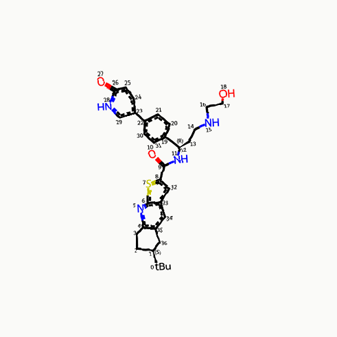 CC(C)(C)[C@H]1CCc2nc3sc(C(=O)N[C@H](CCNCCO)c4ccc(-c5ccc(=O)[nH]c5)cc4)cc3cc2C1